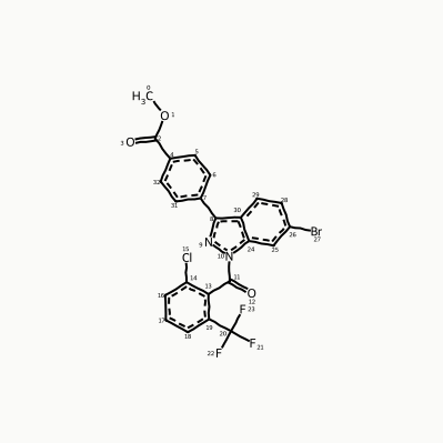 COC(=O)c1ccc(-c2nn(C(=O)c3c(Cl)cccc3C(F)(F)F)c3cc(Br)ccc23)cc1